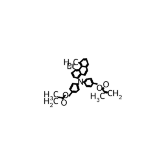 C=C(C)C(=O)OCc1ccc(N(c2ccc(COC(=O)C(=C)C)cc2)c2ccc(CC)c3c2ccc2cccc(C)c23)cc1